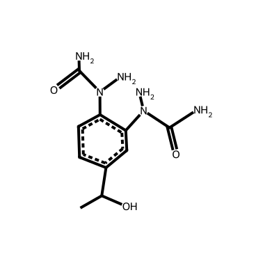 CC(O)c1ccc(N(N)C(N)=O)c(N(N)C(N)=O)c1